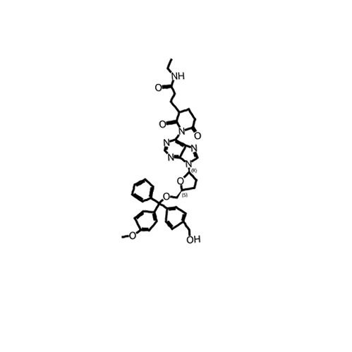 CCNC(=O)CCC1CCC(=O)N(c2ncnc3c2ncn3[C@H]2CC[C@@H](COC(c3ccccc3)(c3ccc(CO)cc3)c3ccc(OC)cc3)O2)C1=O